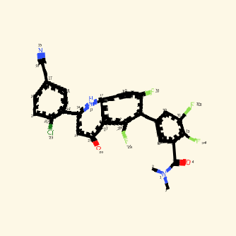 CN(C)C(=O)c1cc(-c2c(F)cc3[nH]c(-c4cc(C#N)ccc4Cl)cc(=O)c3c2F)cc(F)c1F